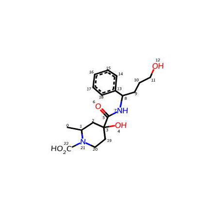 CC1CC(O)(C(=O)NC(CCCO)c2ccccc2)CCN1C(=O)O